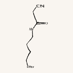 CCCCCCCCCCNC(=O)CC#N